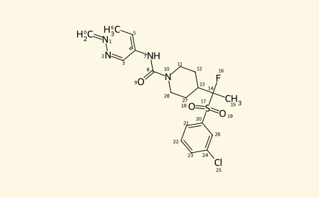 C=N/N=C\C(=C/C)NC(=O)N1CCC(C(C)(F)S(=O)(=O)c2cccc(Cl)c2)CC1